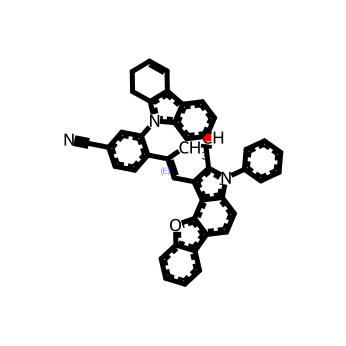 C#Cc1c(/C=C(\C)c2ccc(C#N)cc2-n2c3c(c4ccccc42)C=CCC3)c2c3oc4ccccc4c3ccc2n1-c1ccccc1